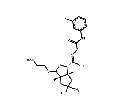 CCCCCCCCCCCCO[C@H]1O[C@H](/C(C)=N/OC(=O)Nc2cccc(F)c2)[C@@H]2OC(C)(C)O[C@H]12